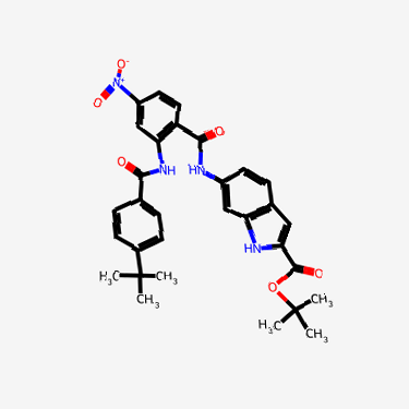 CC(C)(C)OC(=O)c1cc2ccc(NC(=O)c3ccc([N+](=O)[O-])cc3NC(=O)c3ccc(C(C)(C)C)cc3)cc2[nH]1